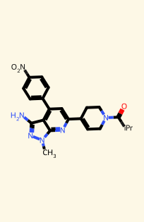 CC(C)C(=O)N1CC=C(c2cc(-c3ccc([N+](=O)[O-])cc3)c3c(N)nn(C)c3n2)CC1